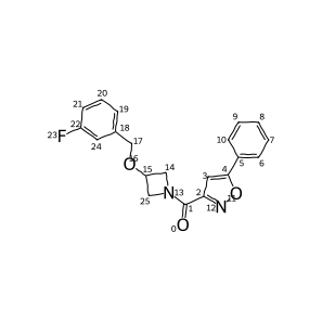 O=C(c1cc(-c2ccccc2)on1)N1CC(OCc2cccc(F)c2)C1